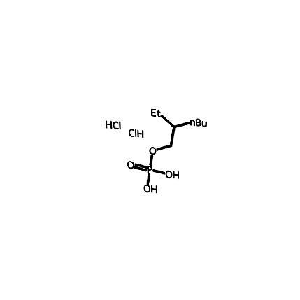 CCCCC(CC)COP(=O)(O)O.Cl.Cl